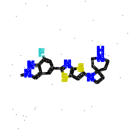 Cn1cc2cc(-c3nc4sc(N5CCC56CCNCC6)cc4s3)cc(F)c2n1